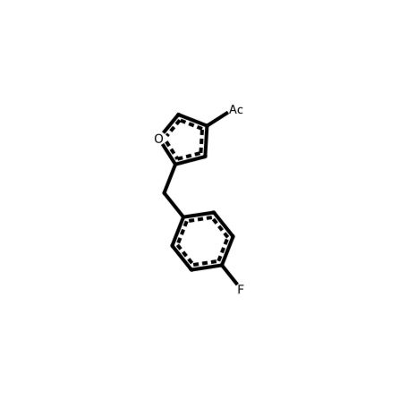 CC(=O)c1coc(Cc2ccc(F)cc2)c1